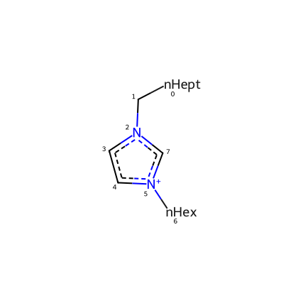 CCCCCCCCn1cc[n+](CCCCCC)c1